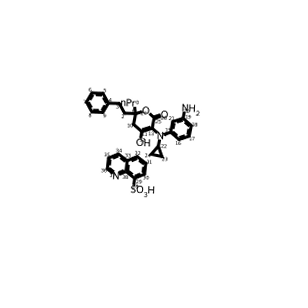 CCCC1(CCc2ccccc2)CC(O)=C(N(c2cccc(N)c2)C2CC2)C(=O)O1.O=S(=O)(O)c1cccc2cccnc12